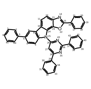 c1ccc(-c2ccc3c(c2)c2ccc4nc(-c5ccccc5)oc4c2n3-c2cc(-c3ccccc3)nc(-c3ccccc3)n2)cc1